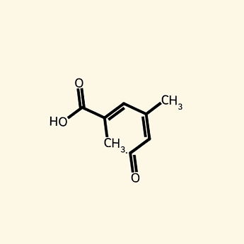 CC(=C[C]=O)C=C(C)C(=O)O